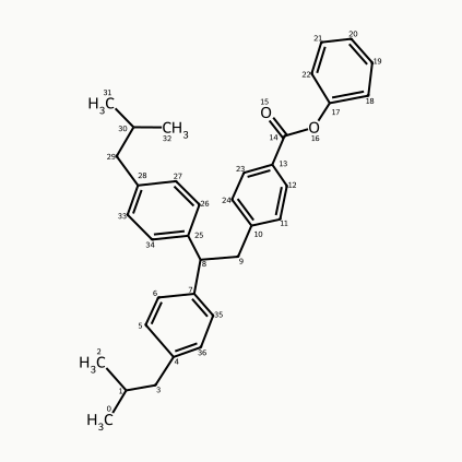 CC(C)Cc1ccc(C(Cc2ccc(C(=O)Oc3ccccc3)cc2)c2ccc(CC(C)C)cc2)cc1